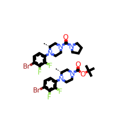 C[C@@H]1CN(C(=O)N2CCCC2)CCN1c1ccc(Br)c(F)c1F.C[C@@H]1CN(C(=O)OC(C)(C)C)CCN1c1ccc(Br)c(F)c1F